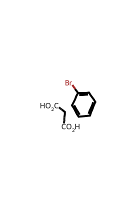 Brc1ccccc1.O=C(O)CC(=O)O